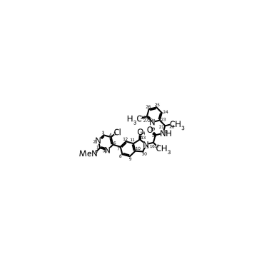 CNc1ncc(Cl)c(-c2ccc3c(c2)C(=O)N(C(C)C(=O)NC(C)c2cccc(C)n2)C3)n1